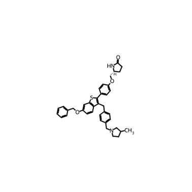 CC1CCN(Cc2ccc(Cc3c(-c4ccc(OC[C@H]5CCC(=O)N5)cc4)sc4cc(OCc5ccccc5)ccc34)cc2)C1